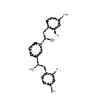 CC(Cc1ccc(O)cc1O)c1cccc(C(C)Cc2ccc(O)cc2O)c1